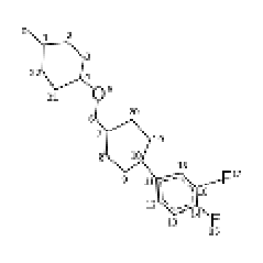 CC1CCC(OCC2CCC(c3ccc(F)c(F)c3)CC2)CC1